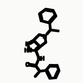 CC(C(=O)Nc1[nH]nc2c1CN(C(C)c1ccccc1)C2)c1ccccc1